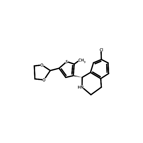 Cc1sc(C2OCCO2)cc1[C@H]1NCCc2ccc(Cl)cc21